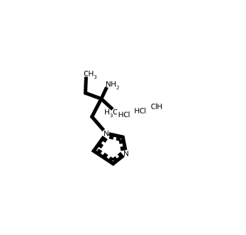 CCC(C)(N)Cn1ccnc1.Cl.Cl.Cl